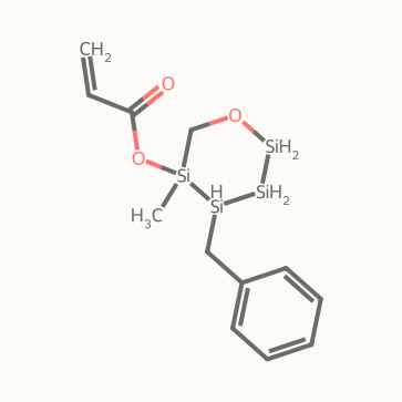 C=CC(=O)O[Si]1(C)CO[SiH2][SiH2][SiH]1Cc1ccccc1